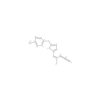 C/C(=C/c1ccc(Cc2ccc(Cl)cc2)s1)N=[N+]=[N-]